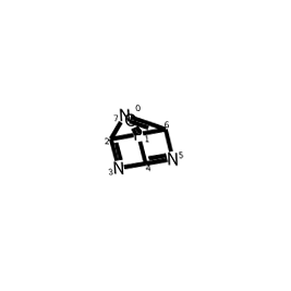 O=P12C3=NC1=NC2=N3